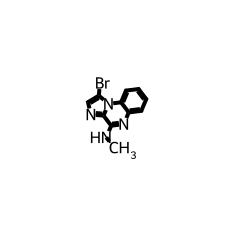 CNc1nc2ccccc2n2c(Br)cnc12